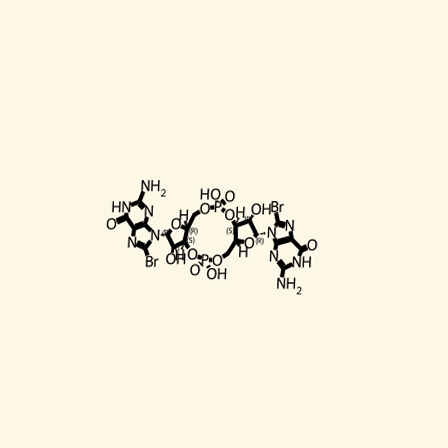 Nc1nc2c(nc(Br)n2[C@@H]2O[C@@H]3COP(=O)(O)O[C@H]4[C@@H](O)[C@H](n5c(Br)nc6c(=O)[nH]c(N)nc65)O[C@@H]4COP(=O)(O)O[C@H]3[C@H]2O)c(=O)[nH]1